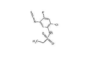 CCS(=O)(=O)Nc1cc(N=C=S)c(F)cc1Cl